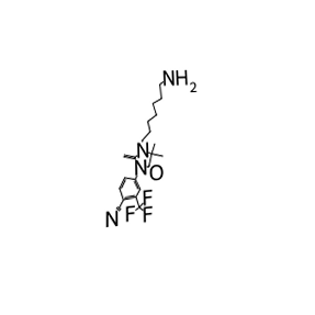 C=C1N(c2ccc(C#N)c(C(F)(F)F)c2)C(=O)C(C)(C)N1CCCCCCCN